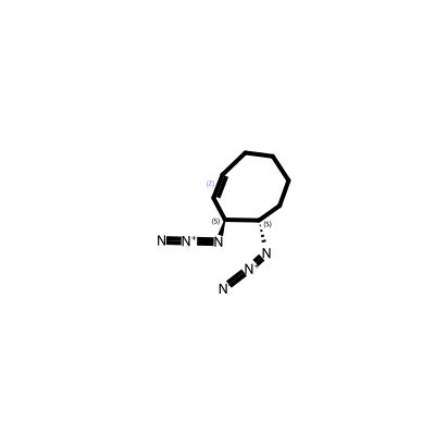 [N-]=[N+]=N[C@H]1/C=C\CCCC[C@@H]1N=[N+]=[N-]